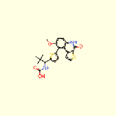 COc1ccc2[nH]c(=O)c3sccc3c2c1-c1ccc(C(NC(=O)O)C(C)(C)C)s1